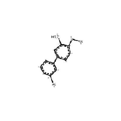 CCOc1ccc(-c2cccc(C(C)=O)c2)cc1C(=O)O